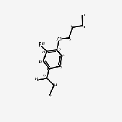 CCCCOc1ccc(C(C)CC)cc1F